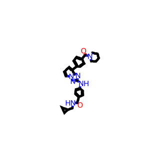 O=C(NCC1CC1)c1ccc(Nc2nc3c(-c4ccc(C(=O)N5CCCCC5)cc4)cccn3n2)cc1